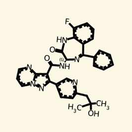 CC(C)(O)Cc1ccc(-c2nn3cccnc3c2C(=O)N[C@H]2N=C(c3ccccc3)c3cccc(F)c3NC2=O)cn1